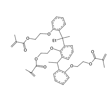 C=C(C)C(=O)OCCOc1ccccc1C(C)c1cccc(C(C)(CC)c2ccccc2OCCOC(=O)C(=C)C)c1OCCOC(=O)C(=C)C